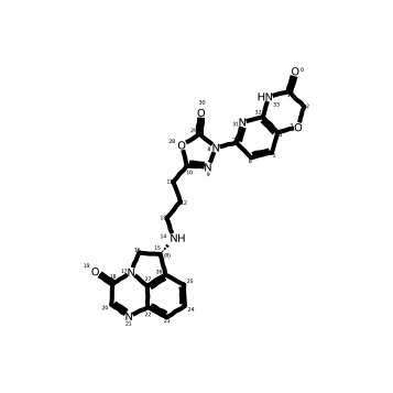 O=C1COc2ccc(-n3nc(CCCN[C@H]4Cn5c(=O)cnc6cccc4c65)oc3=O)nc2N1